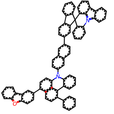 c1ccc(-c2ccccc2-c2ccccc2N(c2ccc(-c3ccc4oc5ccccc5c4c3)cc2)c2ccc3cc(-c4ccc5c(c4)C4(c6ccccc6-5)c5ccccc5-n5c6ccccc6c6cccc4c65)ccc3c2)cc1